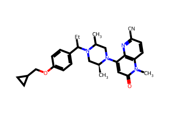 CCC(c1ccc(OCC2CC2)cc1)N1C[C@H](C)N(c2cc(=O)n(C)c3ccc(C#N)nc23)CC1C